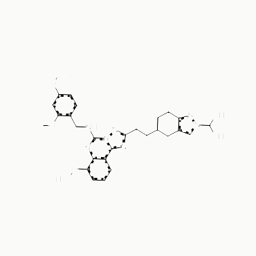 COc1ccc(CNc2nc3c(OC)cccc3c3nc(CCC4CCc5nn(C(C)C)cc5C4)nn23)c(OC)c1